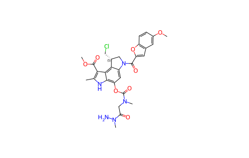 COC(=O)c1c(C)[nH]c2c(OC(=O)N(C)CC(=O)N(C)N)cc3c(c12)[C@H](CCl)CN3C(=O)c1cc2cc(OC)ccc2o1